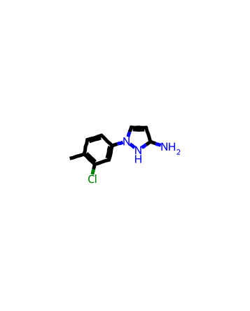 Cc1ccc(N2C=CC(N)N2)cc1Cl